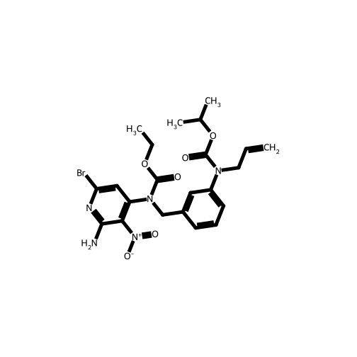 C=CCN(C(=O)OC(C)C)c1cccc(CN(C(=O)OCC)c2cc(Br)nc(N)c2[N+](=O)[O-])c1